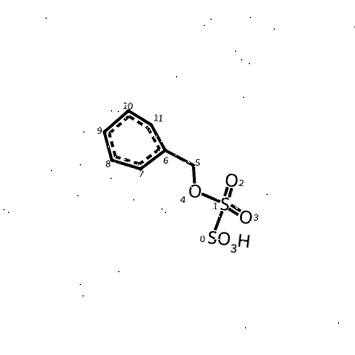 O=S(=O)(O)S(=O)(=O)OCc1ccccc1